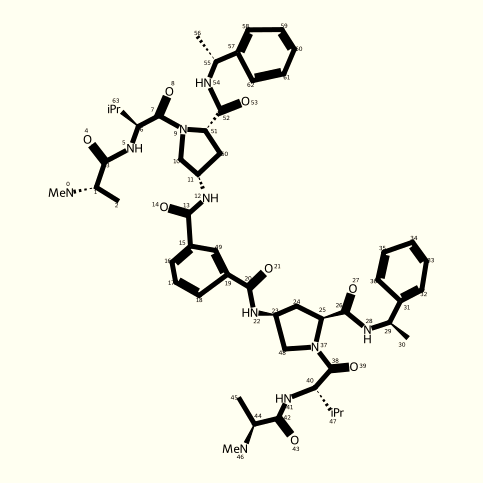 CN[C@@H](C)C(=O)N[C@H](C(=O)N1C[C@@H](NC(=O)c2cccc(C(=O)N[C@H]3C[C@@H](C(=O)N[C@H](C)c4ccccc4)N(C(=O)[C@@H](NC(=O)[C@H](C)NC)C(C)C)C3)c2)C[C@H]1C(=O)N[C@H](C)c1ccccc1)C(C)C